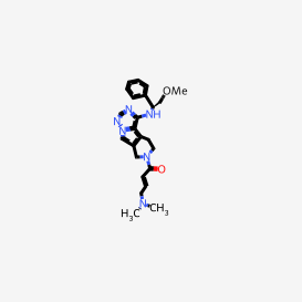 COC[C@@H](Nc1ncnn2cc3c(c12)CCN(C(=O)/C=C/CN(C)C)C3)c1ccccc1